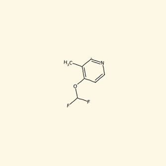 Cc1[c]nccc1OC(F)F